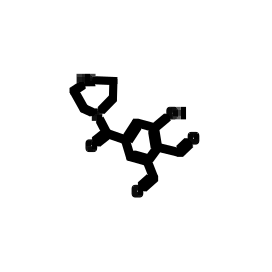 O=Cc1cc(C(=O)N2CCNCC2)cc(O)c1C=O